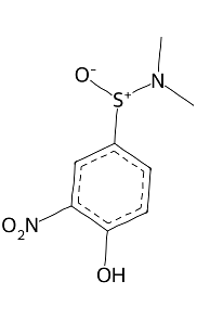 CN(C)[S+]([O-])c1ccc(O)c([N+](=O)[O-])c1